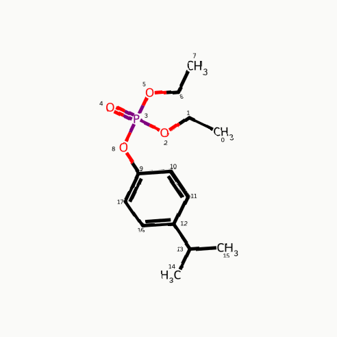 CCOP(=O)(OCC)Oc1ccc(C(C)C)cc1